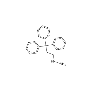 [SiH3]NCCC(c1ccccc1)(c1ccccc1)c1ccccc1